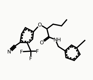 CCCC(Oc1ccc(C#N)c(C(F)(F)F)c1)C(=O)NCc1cccc(C)c1